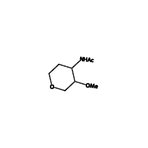 COC1COCCC1NC(C)=O